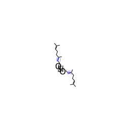 CC(C)=CCC/C(C)=C/CO[Si](C)(C)OC/C=C(\C)CCC=C(C)C